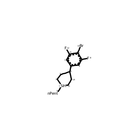 CCCCC[SiH]1CCC(c2cc(F)c(Br)c(F)c2)CC1